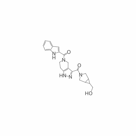 O=C(c1cc2ccccc2[nH]1)N1CCc2[nH]nc(C(=O)N3CC4C(CO)C4C3)c2C1